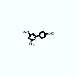 CNc1cc(-c2ccc(C=O)cc2)nc(N)n1